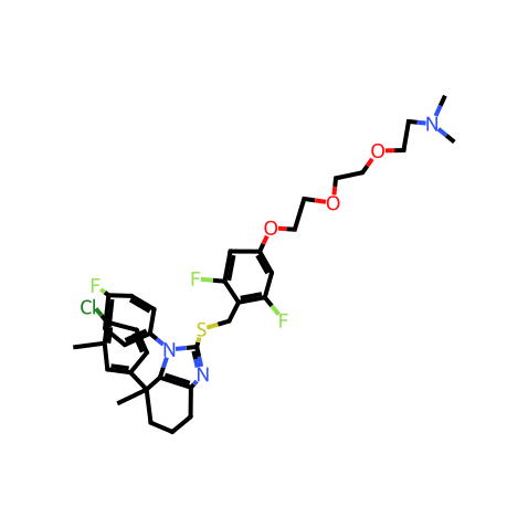 Cc1cc(C2(C)CCCc3nc(SCc4c(F)cc(OCCOCCOCCN(C)C)cc4F)n(-c4ccc(F)cc4)c32)ccc1Cl